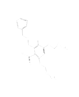 COCOc1cc(OCOC)c(C(=O)O)c(COCc2ccccc2)c1Cl